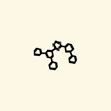 c1ccc(-c2cccc(-c3ncnc(-c4cc(-c5ccccc5)cc(-c5ccccc5)c4)n3)c2)cc1